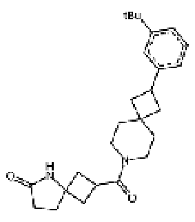 CC(C)(C)c1cccc(C2CC3(CCN(C(=O)C4CC5(CCC(=O)N5)C4)CC3)C2)c1